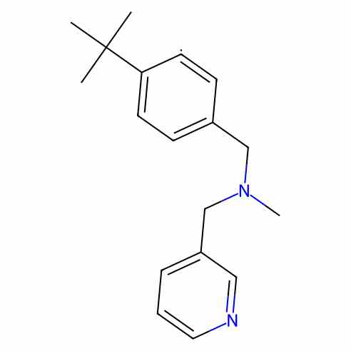 CN(Cc1c[c]c(C(C)(C)C)cc1)Cc1cccnc1